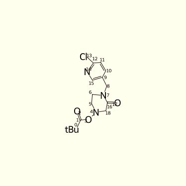 CC(C)(C)C(=O)ON1CCN(Cc2ccc(Cl)nc2)C(=O)C1